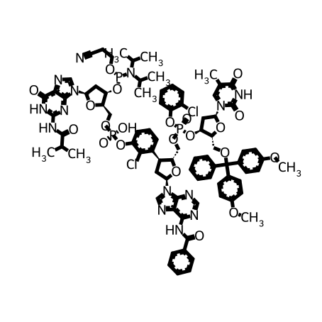 COc1ccc(C(OC[C@H]2O[C@@H](n3cc(C)c(=O)[nH]c3=O)C[C@@H]2OP(=O)(OC[C@@H]2O[C@@H](n3cnc4c(NC(=O)c5ccccc5)ncnc43)C[C@H]2c2cccc(OP(=O)(O)OC[C@H]3O[C@@H](n4cnc5c(=O)[nH]c(NC(=O)C(C)C)nc54)C[C@@H]3OP(OCCC#N)N(C(C)C)C(C)C)c2Cl)Oc2ccccc2Cl)(c2ccccc2)c2ccc(OC)cc2)cc1